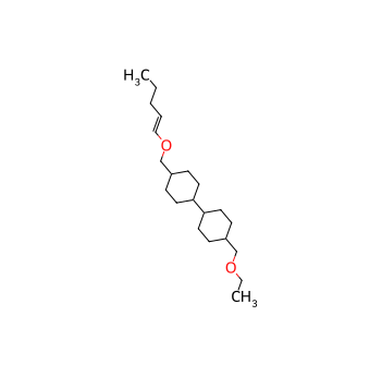 CCCC=COCC1CCC(C2CCC(COCC)CC2)CC1